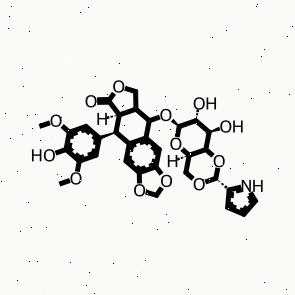 COc1cc([C@@H]2c3cc4c(cc3C(O[C@@H]3O[C@@H]5CO[C@@H](c6ccc[nH]6)OC5[C@H](O)[C@H]3O)C3COC(=O)[C@@H]32)OCO4)cc(OC)c1O